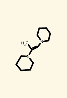 C/C(=C\N1CCCCC1)N1CCCCC1